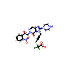 CC#CCn1c(N2CCNCC2)nc2cnn(CC(=O)c3ccccc3[N+](=O)[O-])c(=O)c21.O=C(O)C(F)(F)F